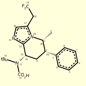 C[C@@H]1[C@H](c2ccccc2)C[C@H](N(C(=O)O)C(C)(C)C)c2ncc(CC(F)(F)F)n21